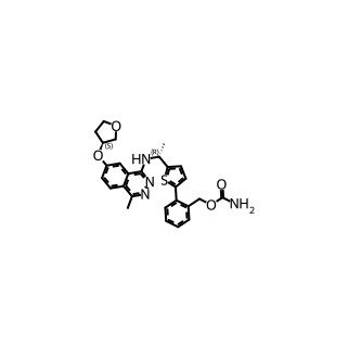 Cc1nnc(N[C@H](C)c2ccc(-c3ccccc3COC(N)=O)s2)c2cc(O[C@H]3CCOC3)ccc12